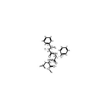 COC(=O)[C@@H](CC(C)C)NC(=O)[C@@H](Cc1ccccc1)NC(=O)[C@H](C)[C@H](C)c1ccccc1